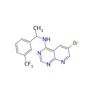 CC(Nc1ncnc2ncc(Br)cc12)c1cccc(C(F)(F)F)c1